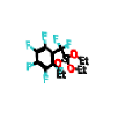 CCO[Si](OCC)(OCC)C(F)(F)c1c(F)c(F)c(F)c(F)c1F